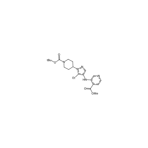 CCc1c(Nc2cnccc2C(=O)OC)cnn1C1CCN(C(=O)OC(C)(C)C)CC1